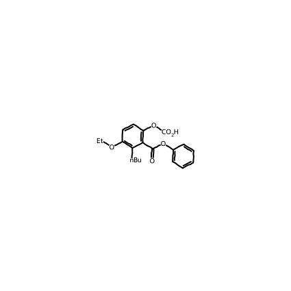 CCCCc1c(OCC)ccc(OC(=O)O)c1C(=O)Oc1ccccc1